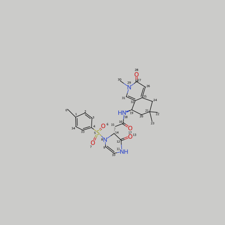 Cc1ccc(S(=O)(=O)N2C=CNC(=O)[C@H]2CC(=O)N[C@@H]2CC(C)(C)Cc3cc(=O)n(C)cc32)cc1